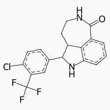 O=C1NCCC2c3c(cccc31)NC2c1ccc(Cl)c(C(F)(F)F)c1